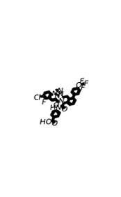 O=C(O)c1ccc(NC(=O)C2c3cccc(-c4ccc(OC(F)(F)F)cc4)c3CCN2C(=O)/C=C/c2c(-n3cnnn3)ccc(Cl)c2F)cc1